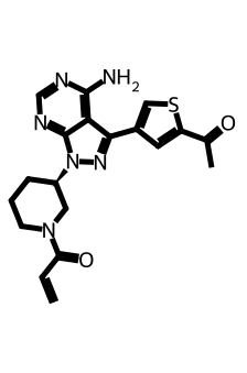 C=CC(=O)N1CCC[C@@H](n2nc(-c3csc(C(C)=O)c3)c3c(N)ncnc32)C1